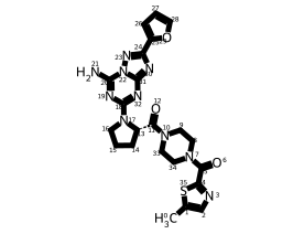 Cc1cnc(C(=O)N2CCN(C(=O)[C@@H]3CCCN3c3nc(N)n4nc(-c5ccco5)nc4n3)CC2)s1